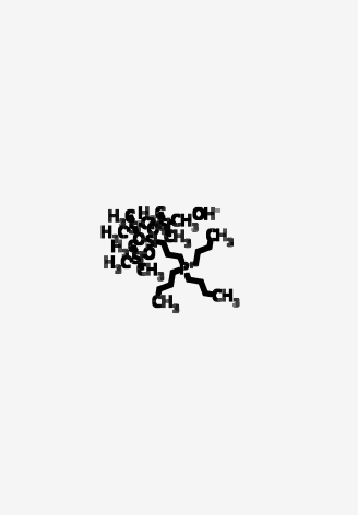 CCCC[P+](CCCC)(CCCC)CCC[Si](O[Si](C)(C)C)(O[Si](C)(C)C)O[Si](C)(C)C.[OH-]